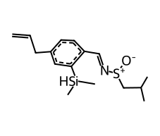 C=CCc1ccc(/C=N/[S+]([O-])CC(C)C)c([SiH](C)C)c1